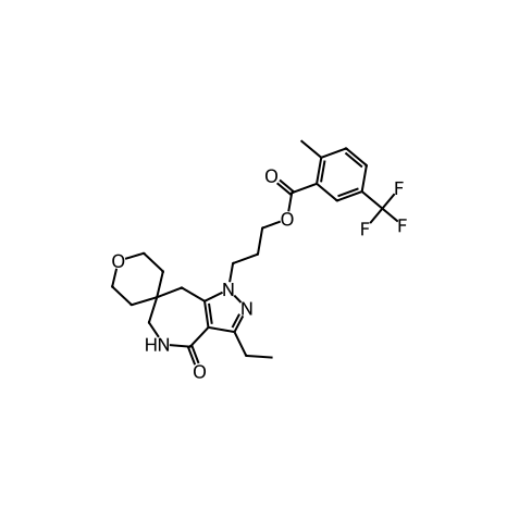 CCc1nn(CCCOC(=O)c2cc(C(F)(F)F)ccc2C)c2c1C(=O)NCC1(CCOCC1)C2